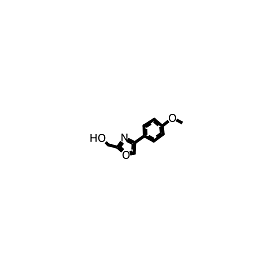 COc1ccc(-c2coc(CO)n2)cc1